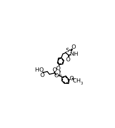 COc1cccc([C@H](COc2ccc(CC3SC(=O)NC3=O)cc2)OC(=O)CCC(=O)O)c1